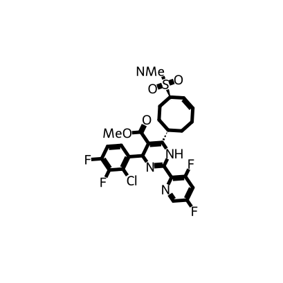 CNS(=O)(=O)[C@H]1C=CCC[C@H](C2=C(C(=O)OC)C(c3ccc(F)c(F)c3Cl)N=C(c3ncc(F)cc3F)N2)CC1